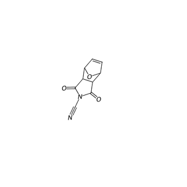 N#CN1C(=O)C2C3C=CC(O3)C2C1=O